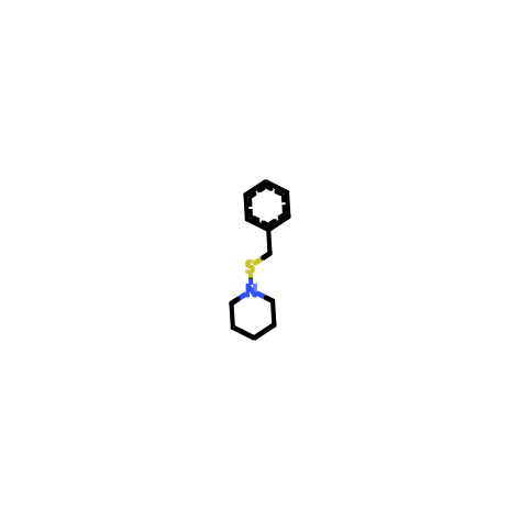 c1ccc(CSN2CCCCC2)cc1